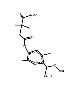 CNC(=O)C(C)(C)CC(=O)Nc1cc(C)c(C(OC(C)(C)C)C(=O)O)cc1C